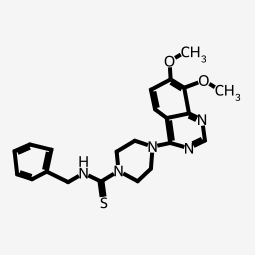 COc1ccc2c(N3CCN(C(=S)NCc4ccccc4)CC3)ncnc2c1OC